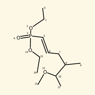 CCOP(=O)(C=CCC(C)C(C)OC)OCC